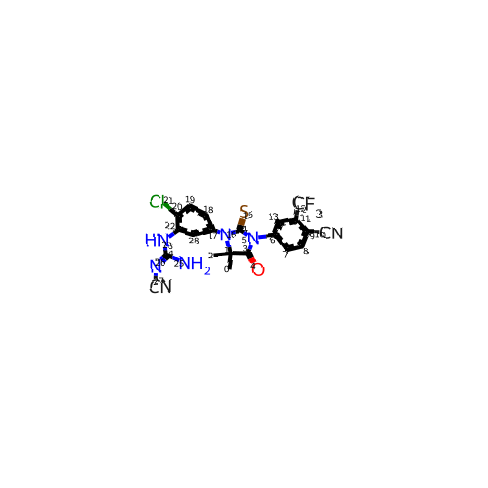 CC1(C)C(=O)N(c2ccc(C#N)c(C(F)(F)F)c2)C(=S)N1c1ccc(Cl)c(N/C(N)=N/C#N)c1